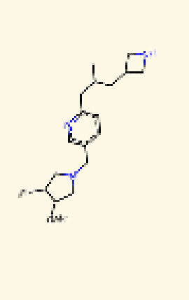 COC1CN(Cc2ccc(CC(C)CC3CNC3)nc2)CC1C(C)C